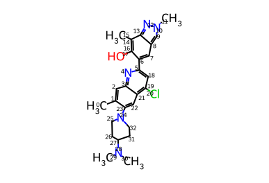 Cc1cc2nc(-c3cc4cn(C)nc4c(C)c3O)cc(Cl)c2cc1N1CCC(N(C)C)CC1